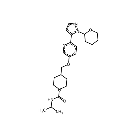 CC(C)NC(=O)N1CCC(COc2ccc(-c3ccnn3C3CCCCO3)nc2)CC1